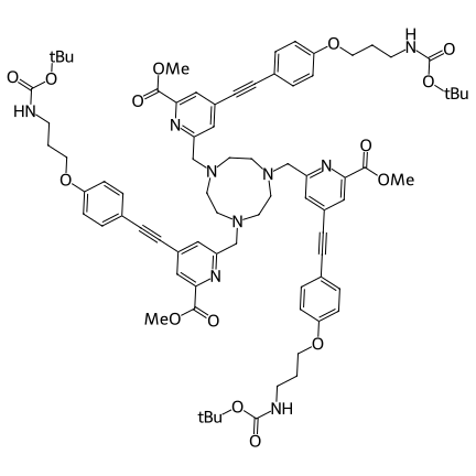 COC(=O)c1cc(C#Cc2ccc(OCCCNC(=O)OC(C)(C)C)cc2)cc(CN2CCN(Cc3cc(C#Cc4ccc(OCCCNC(=O)OC(C)(C)C)cc4)cc(C(=O)OC)n3)CCN(Cc3cc(C#Cc4ccc(OCCCNC(=O)OC(C)(C)C)cc4)cc(C(=O)OC)n3)CC2)n1